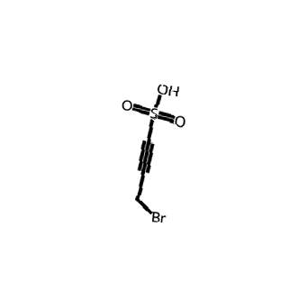 O=S(=O)(O)C#CCBr